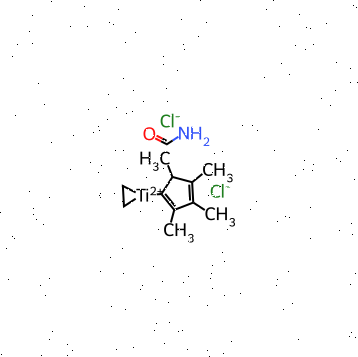 CC1=C(C)C(C)[C]([Ti+2]2[CH2][CH2]2)=C1C.NC=O.[Cl-].[Cl-]